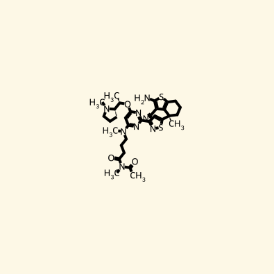 CC(=O)N(C)C(=O)CCCN(C)c1cc(O[C@@H](C)[C@@H]2CCCN2C)nc(-c2cc([C@]3(C)CCCc4sc(N)c(C#N)c43)sn2)n1